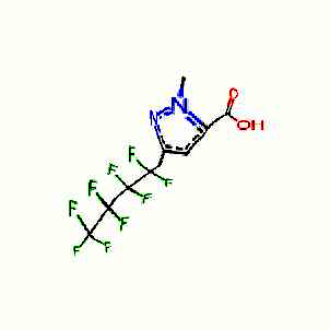 Cn1nc(C(F)(F)C(F)(F)C(F)(F)C(F)(F)F)cc1C(=O)O